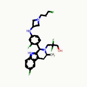 CC1Cc2c([nH]c3ccc(F)cc23)C(c2ccc(NC3CN(CCCF)C3)cc2F)N1CC(F)(F)CO